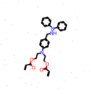 C=CC(=O)OCCN(CCOC(=O)C=C)c1ccc(CNN(c2ccccc2)c2ccccc2)cc1